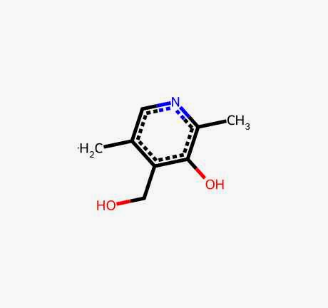 [CH2]c1cnc(C)c(O)c1CO